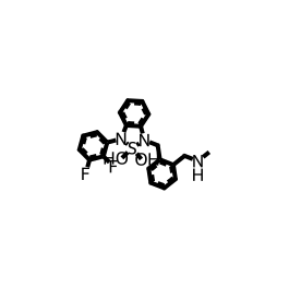 CNCc1ccccc1CN1c2ccccc2N(c2cccc(F)c2F)S1(O)O